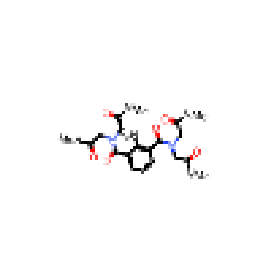 CNC(=O)CN(CC(=O)NC)C(=O)c1cccc(C(=O)N(CC(=O)NC)CC(=O)NC)c1[N+](=O)[O-]